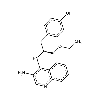 CCOC[C@H](Cc1ccc(O)cc1)Nc1c(N)cnc2ccccc12